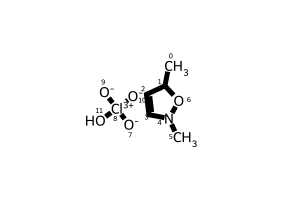 CC1C=CN(C)O1.[O-][Cl+3]([O-])([O-])O